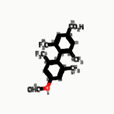 O=COc1cc(C(F)(F)F)c(-c2c(C(F)(F)F)cc(C(=O)O)cc2C(F)(F)F)c(C(F)(F)F)c1